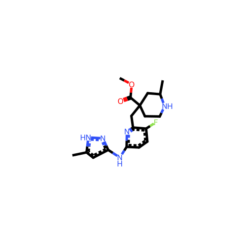 COC(=O)C1(Cc2nc(Nc3cc(C)[nH]n3)ccc2F)CCNC(C)C1